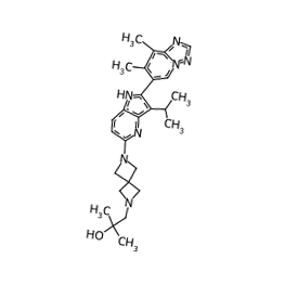 Cc1c(-c2[nH]c3ccc(N4CC5(CN(CC(C)(C)O)C5)C4)nc3c2C(C)C)cn2ncnc2c1C